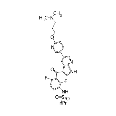 CCCS(=O)(=O)Nc1ccc(F)c(C(=O)c2c[nH]c3ncc(-c4ccc(OCCCN(C)C)nc4)cc23)c1F